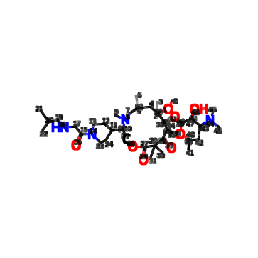 CO[C@]1(C)C[C@@H](C)CN(C)[C@H](C2CCN(C(=O)CNCC(C)C)CC2)COC(=O)C(C)(C)C(=O)[C@H](C)[C@H]1O[C@@H]1O[C@H](C)C[C@H](N(C)C)[C@@H]1O